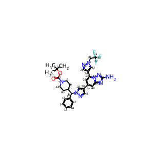 CC(C)(C)OC(=O)N1CCC(C(c2ccccc2)n2cc(-c3cc(-c4cnn(CC(F)(F)F)c4)n4nc(N)nc4c3)cn2)CC1